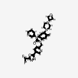 O=c1n(Cc2ccc(-c3nnc(C(F)F)o3)cn2)c2cc(F)c(N3CCN(C4COC4)CC3)cc2n1-c1cccnc1